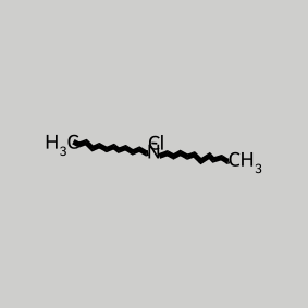 CCCCCCCCCCCCN(Cl)CCCCCCCCCCCC